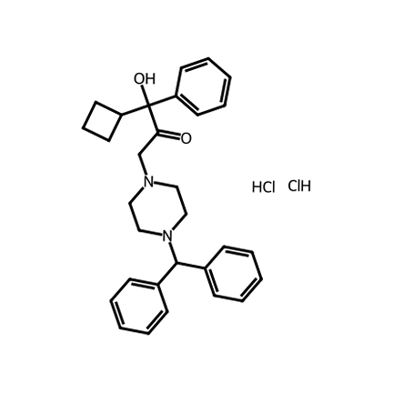 Cl.Cl.O=C(CN1CCN(C(c2ccccc2)c2ccccc2)CC1)C(O)(c1ccccc1)C1CCC1